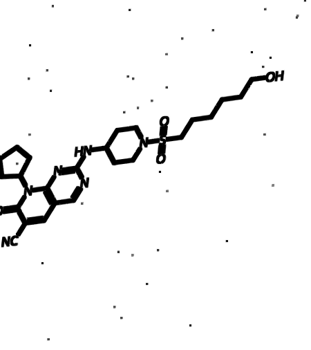 N#Cc1cc2cnc(NC3CCN(S(=O)(=O)CCCCCCO)CC3)nc2n(C2CCCC2)c1=O